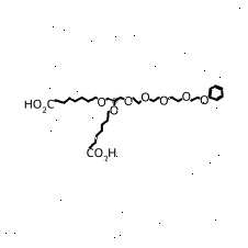 O=C(O)CCCCCCCOC[C@@H](COCCOCCOCCOCCOc1ccccc1)OCCCCCCCC(=O)O